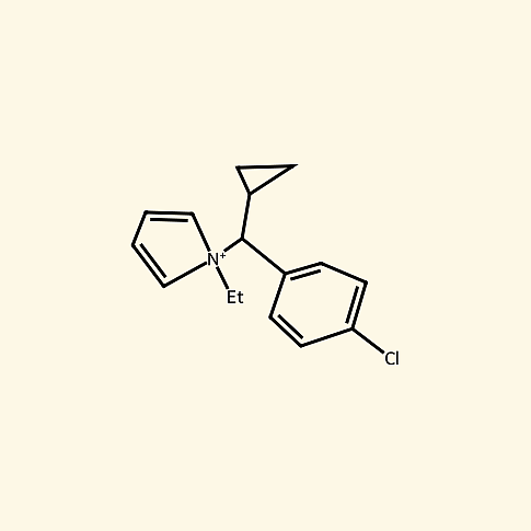 CC[N+]1(C(c2ccc(Cl)cc2)C2CC2)C=CC=C1